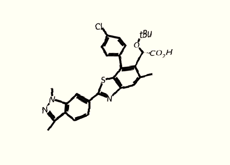 Cc1cc2nc(-c3ccc4c(C)nn(C)c4c3)sc2c(-c2ccc(Cl)cc2)c1[C@H](OC(C)(C)C)C(=O)O